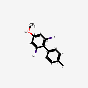 Cc1ccc(-c2c(I)cc(OC(F)(F)F)cc2I)cc1